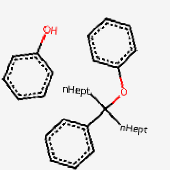 CCCCCCCC(CCCCCCC)(Oc1ccccc1)c1ccccc1.Oc1ccccc1